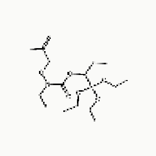 C=C(C)CON(CC)C(=O)OC(CC)[Si](OCC)(OCC)OCC